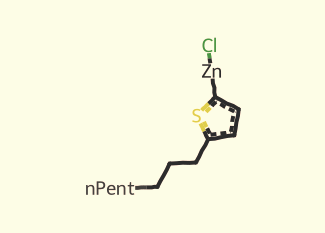 CCCCCCCCc1cc[c]([Zn][Cl])s1